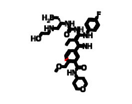 BC[C@@H](CNCCO)NC(=O)N/C(Nc1ccc(F)cc1)=C(\CC)C(=N)C(/C=C\C)=C/C(C(=O)NC1CCOCC1)=C(\C)COC